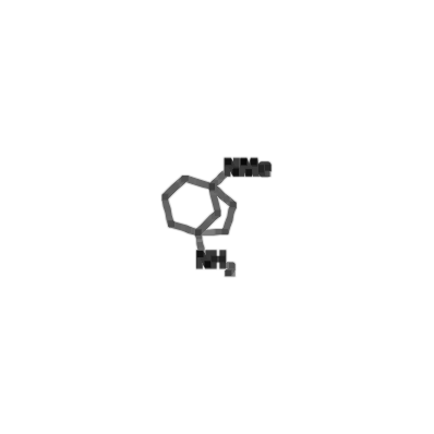 CNC12CCCC(N)(CC1)C2